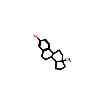 CC12CCCC1C1CCc3cc(O)ccc3C1CC2